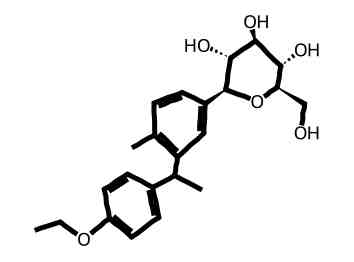 CCOc1ccc(C(C)c2cc([C@@H]3O[C@H](CO)[C@@H](O)[C@H](O)[C@H]3O)ccc2C)cc1